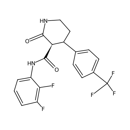 O=C1NCCC(c2ccc(C(F)(F)F)cc2)[C@H]1C(=O)Nc1cccc(F)c1F